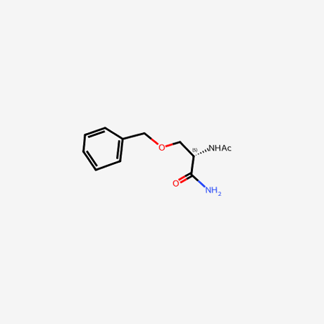 CC(=O)N[C@@H](COCc1ccccc1)C(N)=O